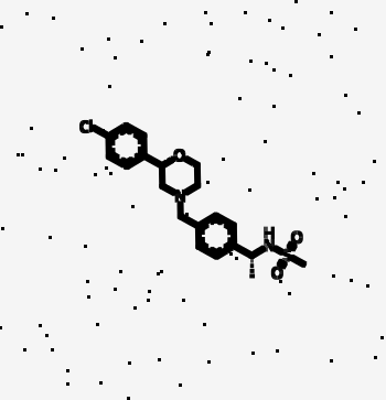 C[C@@H](NS(C)(=O)=O)c1ccc(CN2CCOC(c3ccc(Cl)cc3)C2)cc1